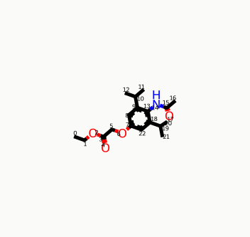 CCOC(=O)COc1cc(C(C)C)c(NC(C)=O)c(C(C)C)c1